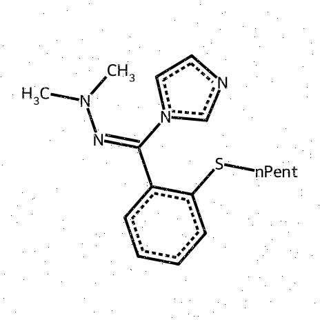 CCCCCSc1ccccc1C(=NN(C)C)n1ccnc1